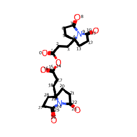 O=C(CCC12CCC(=O)N1C(=O)CC2)OC(=O)CCC12CCC(=O)N1C(=O)CC2